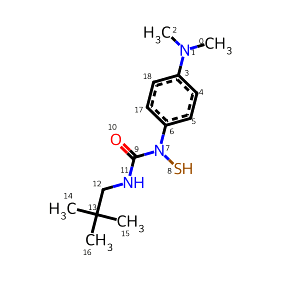 CN(C)c1ccc(N(S)C(=O)NCC(C)(C)C)cc1